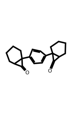 O=C1C2CCCCC12c1ccc(C23CCCCC2C3=O)cc1